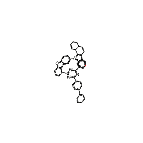 C1=CC2C=Cc3c(n(-c4ccc5oc6cccc(-c7nc(-c8ccccc8)nc(-c8ccc(-c9ccccc9)cc8)n7)c6c5c4)c4ccccc34)C2C=C1